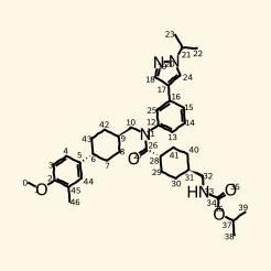 COc1ccc([C@H]2CC[C@H](CN(c3cccc(-c4cnn(C(C)C)c4)c3)C(=O)[C@H]3CC[C@H](CNC(=O)OC(C)C)CC3)CC2)cc1C